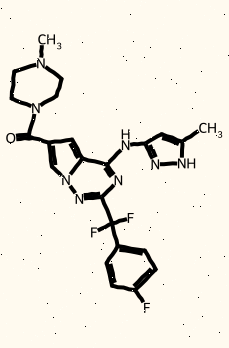 Cc1cc(Nc2nc(C(F)(F)c3ccc(F)cc3)nn3cc(C(=O)N4CCN(C)CC4)cc23)n[nH]1